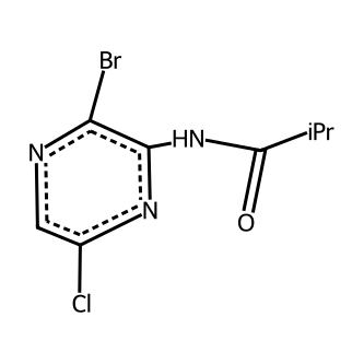 CC(C)C(=O)Nc1nc(Cl)cnc1Br